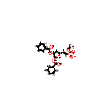 CCOP(=O)(O)/C=C/[C@@H]1C[C@@H](OC(=O)c2ccccc2)C(OC(=O)c2ccccc2)O1